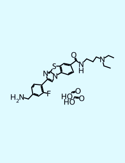 CCN(CC)CCCNC(=O)c1ccc2c(c1)sc1nc(-c3ccc(CN)cc3F)cn12.O=CO.O=CO